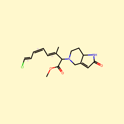 COC(=O)C(/C(C)=C/C=C\C=C\Cl)N1CCC2NC(=O)C=C2C1